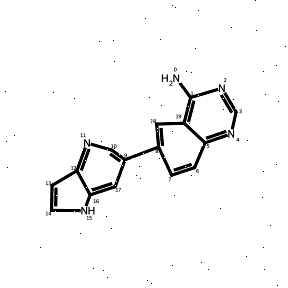 Nc1ncnc2ccc(-c3cnc4cc[nH]c4c3)cc12